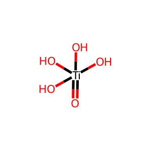 [O]=[Ti]([OH])([OH])([OH])[OH]